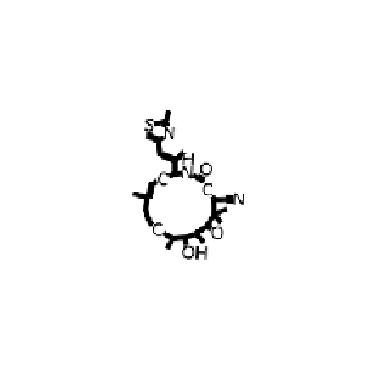 CC1=CCC(C(C)=Cc2csc(C)n2)NC(=O)CC(C#N)C(C)(C)C(=O)C(C)C(O)C(C)CCC1